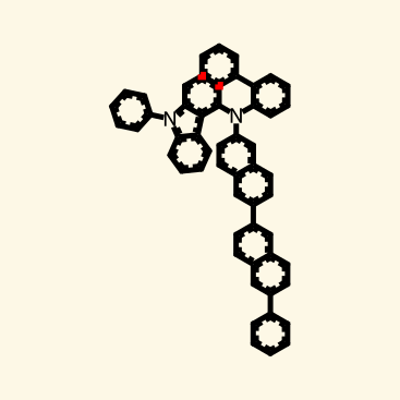 c1ccc(-c2ccc3cc(-c4ccc5cc(N(c6ccccc6-c6ccccc6)c6cccc7c6c6ccccc6n7-c6ccccc6)ccc5c4)ccc3c2)cc1